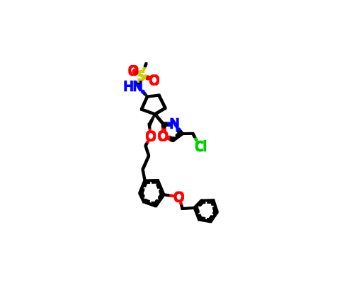 CS(=O)(=O)N[C@H]1CC[C@](COCCCc2cccc(OCc3ccccc3)c2)(c2nc(CCl)co2)C1